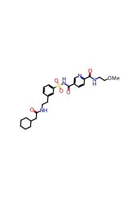 COCCNC(=O)c1ccc(C(=O)NS(=O)(=O)c2cccc(CCNC(=O)CC3CCCCC3)c2)cn1